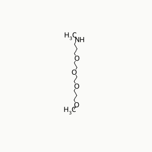 CNCCCOCCOCCOCCCOC